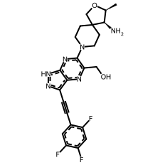 C[C@@H]1OCC2(CCN(c3nc4[nH]nc(C#Cc5cc(F)c(F)cc5F)c4nc3CO)CC2)[C@@H]1N